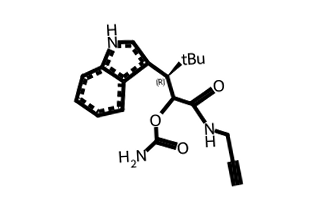 C#CCNC(=O)C(OC(N)=O)[C@@H](c1c[nH]c2ccccc12)C(C)(C)C